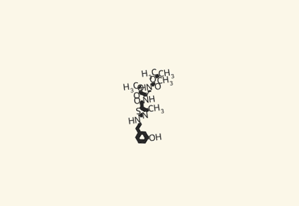 COC(=O)[C@H](CNC(=O)OC(C)(C)C)NC(=O)c1sc(NCCc2cccc(O)c2)nc1C